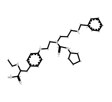 CCOC(Cc1ccc(OCCN(CCCSCc2ccccc2)C(=O)OC2CCCC2)cc1)C(=O)O